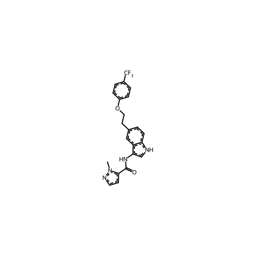 Cn1nccc1C(=O)Nc1c[nH]c2ccc(CCOc3ccc(C(F)(F)F)cc3)cc12